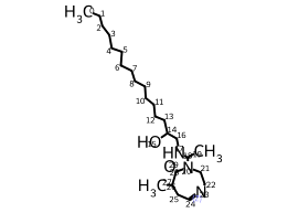 CCCCCCCCCCCCCCC(O)CNC(C)N1CC/N=C\CC(C)C1=O